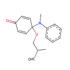 CC(C=O)COC1(N(C)c2ccccc2)C=CC(=O)C=C1